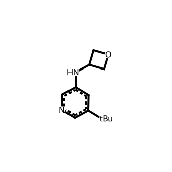 CC(C)(C)c1cncc(NC2COC2)c1